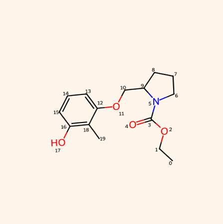 CCOC(=O)N1CCCC1COc1cccc(O)c1C